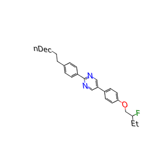 CCCCCCCCCCCCc1ccc(-c2ncc(-c3ccc(OCC(F)CC)cc3)cn2)cc1